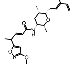 C=C/C(C)=C/C[C@@H]1O[C@H](C)[C@H](NC(=O)/C=C/C(C)c2cc(OC)no2)C[C@@H]1C